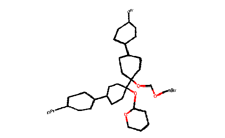 CCCCOCOC1(C2(OC3CCCCO3)CCC(C3CCC(CCC)CC3)CC2)CCC(C2CCC(CCC)CC2)CC1